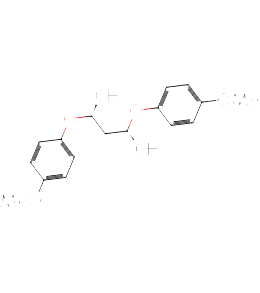 COc1ccc(O[C@@H](C)C[C@H](C)Oc2ccc(OC)cc2)cc1